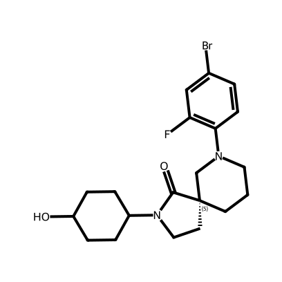 O=C1N(C2CCC(O)CC2)CC[C@]12CCCN(c1ccc(Br)cc1F)C2